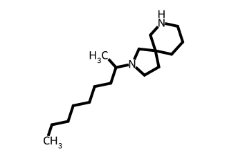 CCCCCCCC(C)N1CCC2(CCCNC2)C1